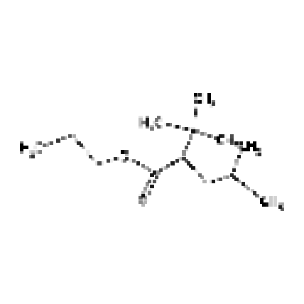 CCCOC(=O)C(CC(C)C)C(C)(C)C